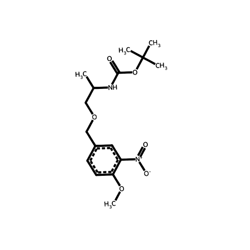 COc1ccc(COCC(C)NC(=O)OC(C)(C)C)cc1[N+](=O)[O-]